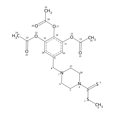 CSC(=S)N1CCN(Cc2cc(OC(C)=O)c(OC(C)=O)c(OC(C)=O)c2)CC1